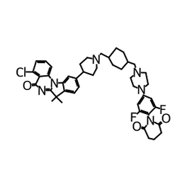 CC1(C)c2ccc(C3CCN(CC4CCC(CN5CCN(c6cc(F)c(N7C(=O)CCCC7=O)c(F)c6)CC5)CC4)CC3)cc2-n2c1nc(=O)c1c(Cl)cccc12